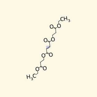 CCOC(=O)CCOC(=O)/C=C/C(=O)OCCC(=O)OCC